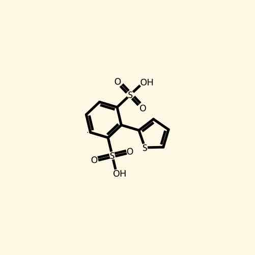 O=S(=O)(O)c1[c]ccc(S(=O)(=O)O)c1-c1cccs1